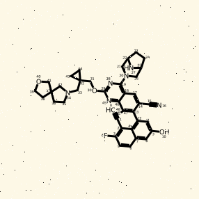 C#Cc1c(F)ccc2cc(O)cc(-c3c(C#N)cc4c(N5CC6CCC(C5)N6)nc(OCC5(CN6CCC7(CCOC7)C6)CC5)nc4c3F)c12